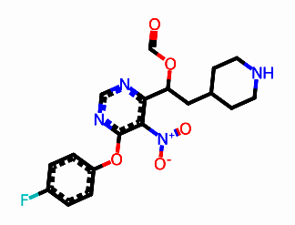 O=COC(CC1CCNCC1)c1ncnc(Oc2ccc(F)cc2)c1[N+](=O)[O-]